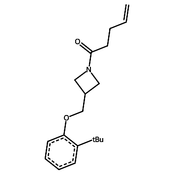 C=CCCC(=O)N1CC(COc2ccccc2C(C)(C)C)C1